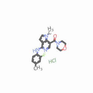 Cc1ccc(Nc2ncc(C(=O)N3CCOCC3)c3c2ccn3C)c(F)c1.Cl